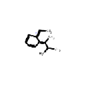 CC(C)/C(N)=c1\cccc\c1=C\N